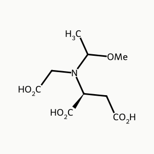 COC(C)N(CC(=O)O)[C@@H](CC(=O)O)C(=O)O